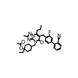 CCCc1c(Cc2ccc(-c3ccccc3C#N)cc2F)c(=O)n(CC2CCC(CC)(OC(C)=O)CC2)c2nc(C)nn12